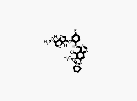 COc1c(N=S2(=O)CCCC2)cc2ncnc(Nc3ccc(F)cc3OC3CO[C@@H]4C(OC)CO[C@H]34)c2c1Cl